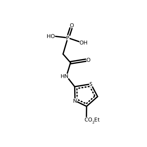 CCOC(=O)c1csc(NC(=O)CP(=O)(O)O)n1